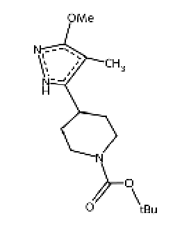 COc1n[nH]c(C2CCN(C(=O)OC(C)(C)C)CC2)c1C